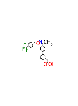 CC(=NOCc1ccc(C(F)(F)F)cc1)c1ccc(-c2cccc(CC(=O)O)c2)cc1